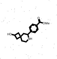 COC(=O)c1ccc(C2CC3(CCN2)CC(O)C3)cc1